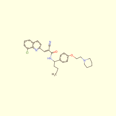 CCCC(NC(=O)/C(C#N)=C/c1ccc2cccc(Cl)c2n1)c1ccc(OCCN2CCCCC2)cc1